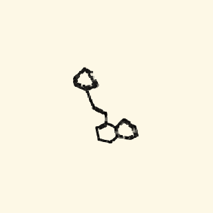 C(=Cc1ccccc1)C1=CCCc2ccccc21